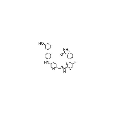 NC(=O)c1cccc(-c2nc(N/N=C/c3ccc(Nc4ccc(-c5cccc(O)c5)cc4)cn3)ncc2F)c1